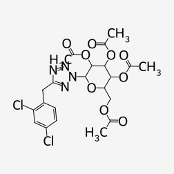 CC(=O)OCC1OC(n2nnc(Cc3ccc(Cl)cc3Cl)n2)C(OC(C)=O)C(OC(C)=O)C1OC(C)=O